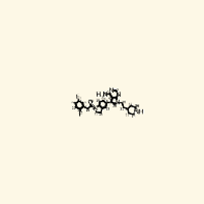 Nc1ncnc2c1c(-c1ccc3c(c1)CCN3C(=O)Cc1cc(F)ccc1F)cn2CCC1CCNCC1